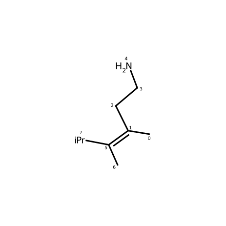 CC(CCN)=C(C)C(C)C